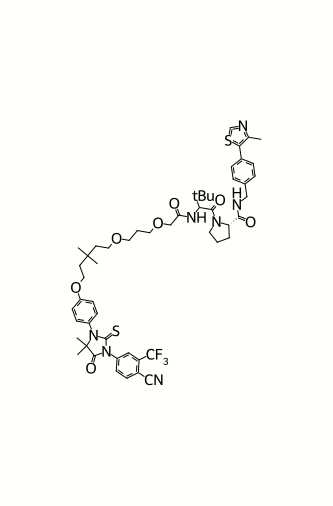 Cc1ncsc1-c1ccc(CNC(=O)[C@@H]2CCCN2C(=O)C(NC(=O)COCCCOCCC(C)(C)CCOc2ccc(N3C(=S)N(c4ccc(C#N)c(C(F)(F)F)c4)C(=O)C3(C)C)cc2)C(C)(C)C)cc1